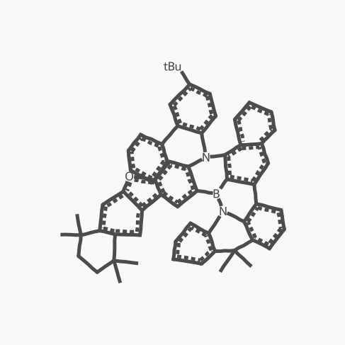 CC(C)(C)c1ccc(N2c3cc4oc5cc6c(cc5c4cc3B3c4c(cc5ccccc5c42)-c2cccc4c2N3c2ccccc2C4(C)C)C(C)(C)CCC6(C)C)c(-c2ccccc2)c1